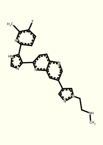 CNCCn1cc(-c2cnc3ccc(-c4nc[nH]c4-c4ccc(F)c(C)n4)nc3c2)cn1